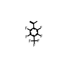 C=C(C)c1c(F)c(F)c(C(F)(F)F)c(F)c1F